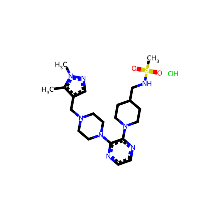 Cc1c(CN2CCN(c3nccnc3N3CCC(CNS(C)(=O)=O)CC3)CC2)cnn1C.Cl